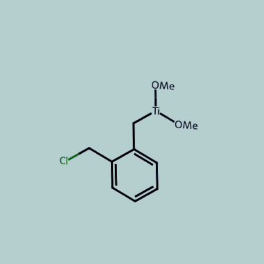 C[O][Ti]([CH2]c1ccccc1CCl)[O]C